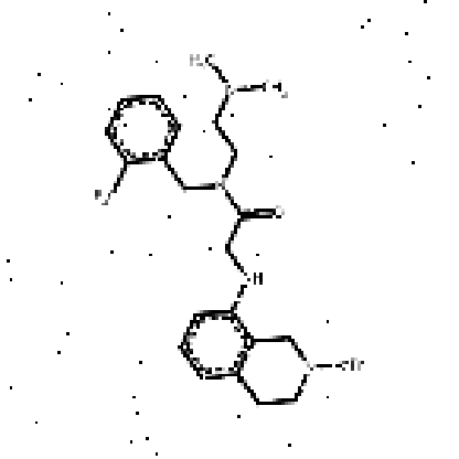 CCCN1CCc2cccc(NCC(=O)N(CCN(C)C)Cc3ccccc3C(F)(F)F)c2C1